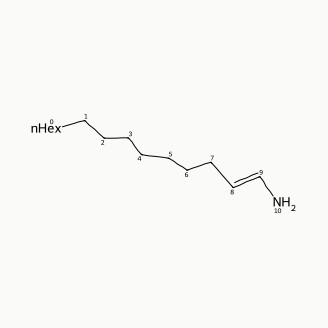 CCCCCCCCCCCCCC=CN